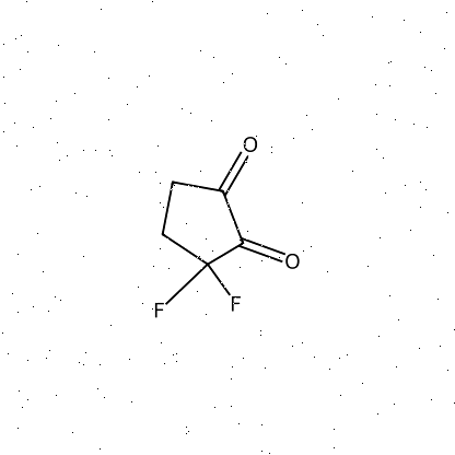 O=C1CCC(F)(F)C1=O